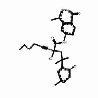 CCCCC#CC(O)(CC(C)(C)c1cc(F)ccc1Cl)C(=O)Nc1ccc2c(=O)onc(C)c2c1